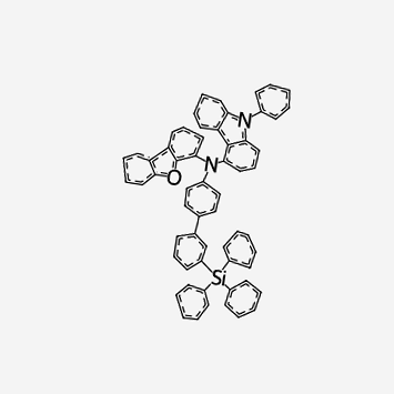 c1ccc(-n2c3ccccc3c3c(N(c4ccc(-c5cccc([Si](c6ccccc6)(c6ccccc6)c6ccccc6)c5)cc4)c4cccc5c4oc4ccccc45)cccc32)cc1